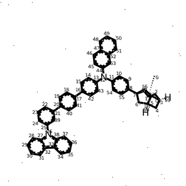 C[C@H]1C[C@H]2C[C@H]3CC(c4ccc(N(c5ccc(-c6ccc(-c7cccc(-n8c9ccccc9c9ccccc98)c7)cc6)cc5)c5ccc6ccccc6c5)cc4)(CC23)C1